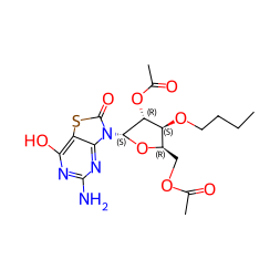 CCCCO[C@@H]1[C@@H](OC(C)=O)[C@@H](n2c(=O)sc3c(O)nc(N)nc32)O[C@@H]1COC(C)=O